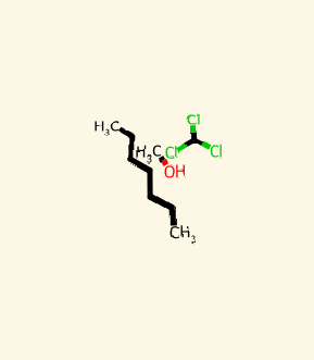 CCCCCCC.CO.ClC(Cl)Cl